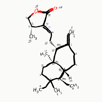 C=C1CC[C@@H]2[C@@H](C)C(C)(C)CC[C@@]2(C)[C@@H]1C/C=C1/C(=O)OC[C@H]1C